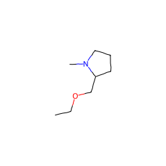 CCOCC1CCCN1C